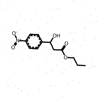 CCCOC(=O)CC(O)c1ccc([N+](=O)[O-])cc1